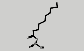 CCCCCCCCCC(=O)[O][Ti](=[O])[OH]